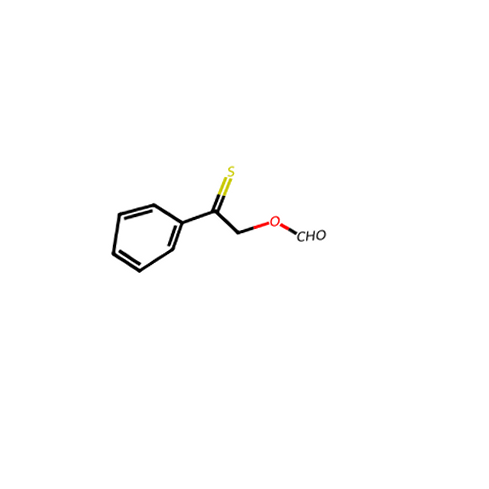 O=COCC(=S)c1ccccc1